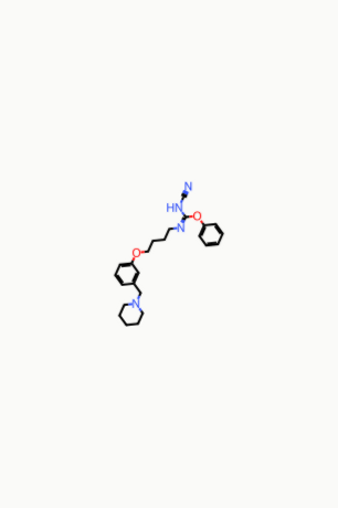 N#CN/C(=N\CCCCOc1cccc(CN2CCCCC2)c1)Oc1ccccc1